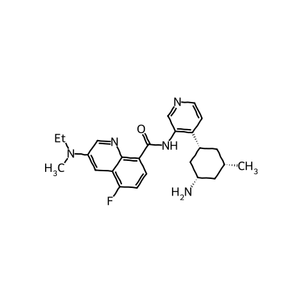 CCN(C)c1cnc2c(C(=O)Nc3cnccc3[C@@H]3C[C@H](C)C[C@H](N)C3)ccc(F)c2c1